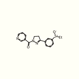 CC[S+]([O-])c1cccc(C2=NN(C(=O)c3cccnc3)CC2)c1